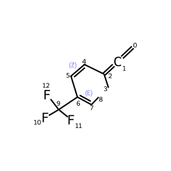 C=C=C(C)/C=C\C(=C/C)C(F)(F)F